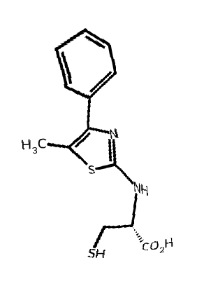 Cc1sc(N[C@@H](CS)C(=O)O)nc1-c1ccccc1